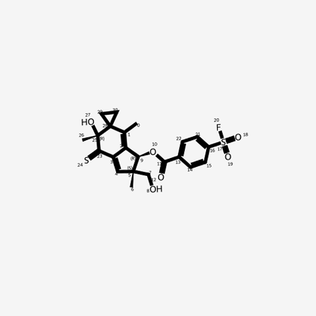 CC1=C2C(=C[C@@](C)(CO)[C@@H]2OC(=O)c2ccc(S(=O)(=O)F)cc2)C(=S)[C@](C)(O)C12CC2